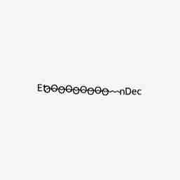 CCCCCCCCCCCCCCCCOCCOCCOCCOCCOCCOCCOCCOCCOCC